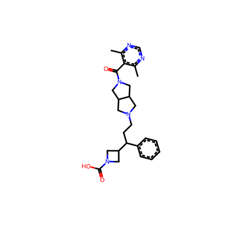 Cc1ncnc(C)c1C(=O)N1CC2CN(CCC(c3ccccc3)C3CN(C(=O)O)C3)CC2C1